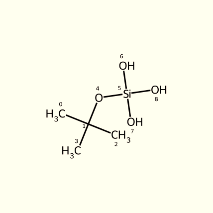 CC(C)(C)O[Si](O)(O)O